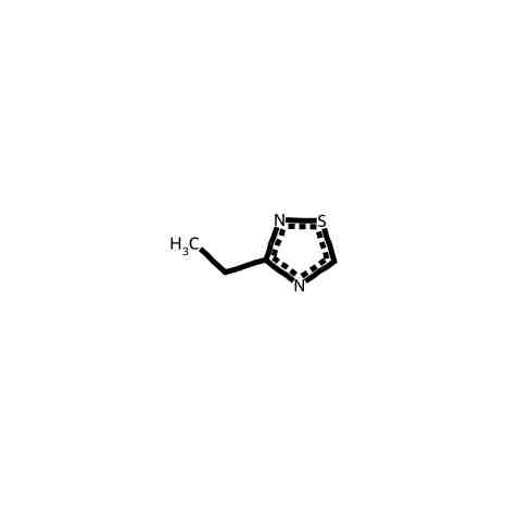 CCc1ncsn1